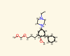 CCN1CCN(c2cc(CCCOCOC)c(OC)c(-c3ccccc3)c2)CC1